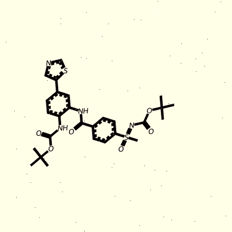 CC(C)(C)OC(=O)N=S(C)(=O)c1ccc(C(=O)Nc2cc(-c3cncs3)ccc2NC(=O)OC(C)(C)C)cc1